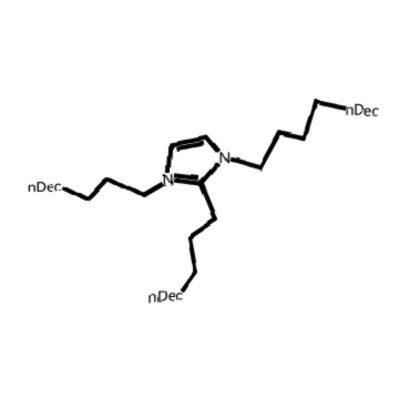 CCCCCCCCCCCCCCn1cc[n+](CCCCCCCCCCCCC)c1CCCCCCCCCCCCC